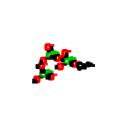 [Ce+3].[O-][Cl+2]([O-])[O-].[O-][Cl+2]([O-])[O-].[O-][Cl+2]([O-])[O-]